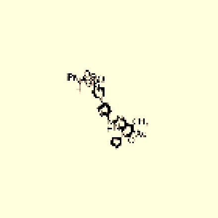 CC(=O)c1c(C)c2cnc(Nc3ccc(N4CCN(S(=O)(=O)OC(=O)NC(C)C)CC4)cn3)nc2n(C2CCCC2)c1=O